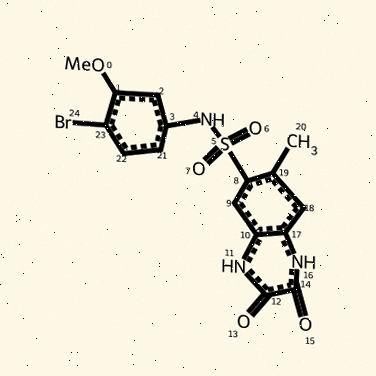 COc1cc(NS(=O)(=O)c2cc3[nH]c(=O)c(=O)[nH]c3cc2C)ccc1Br